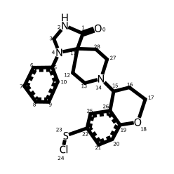 O=C1NCN(c2ccccc2)C12CCN(C1CCOc3ccc(SCl)cc31)CC2